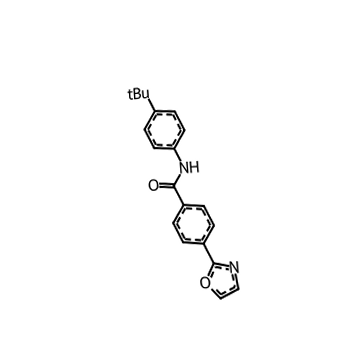 CC(C)(C)c1ccc(NC(=O)c2ccc(-c3ncco3)cc2)cc1